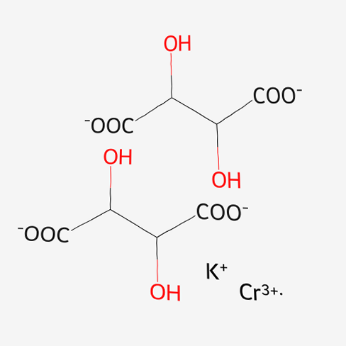 O=C([O-])C(O)C(O)C(=O)[O-].O=C([O-])C(O)C(O)C(=O)[O-].[Cr+3].[K+]